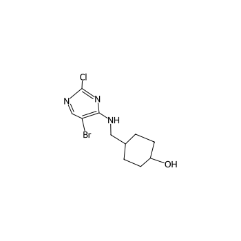 OC1CCC(CNc2nc(Cl)ncc2Br)CC1